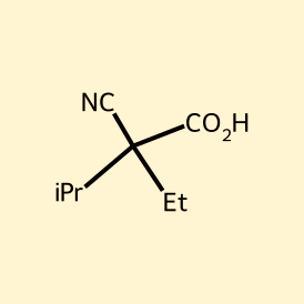 CCC(C#N)(C(=O)O)C(C)C